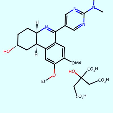 CCOc1cc2c(cc1OC)C(c1cnc(N(C)C)nc1)=N[C@@H]1CC[C@@H](O)C[C@H]21.O=C(O)CC(O)(CC(=O)O)C(=O)O